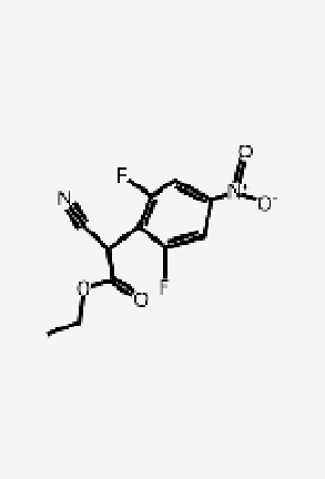 CCOC(=O)C(C#N)c1c(F)cc([N+](=O)[O-])cc1F